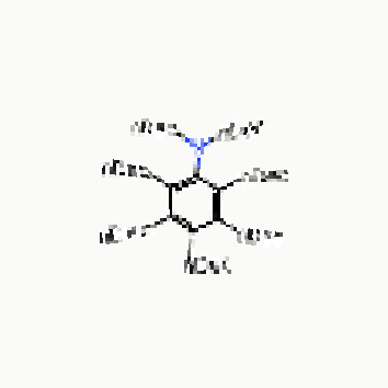 CCCCCCCCCCc1c(CCCCCCCCCC)c(CCCCCCCCCC)c(N(CCCCCCCCCC)CCCCCCCCCC)c(CCCCCCCCCC)c1CCCCCCCCCC